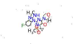 CNc1nc2cc(F)ccc2n1-c1nc2c(c(C3(S(C)(=O)=O)CC3)n1)OC[C@@H]1COCCN21